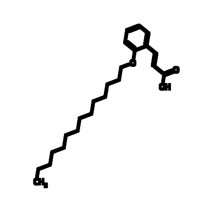 CCCCCCCCCCCCCCOc1ccccc1/C=C/C(=O)O